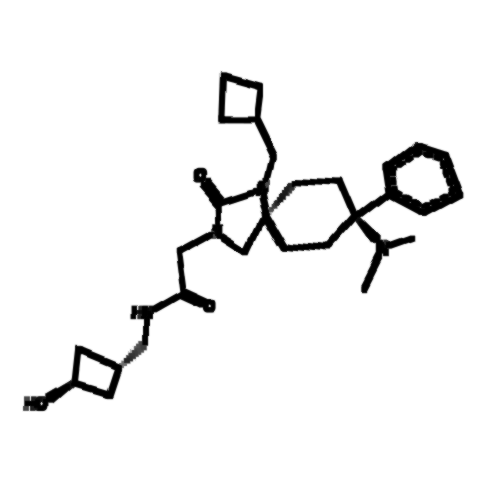 CN(C)[C@]1(c2ccccc2)CC[C@]2(CC1)CN(CC(=O)NC[C@H]1C[C@H](O)C1)C(=O)N2CC1CCC1